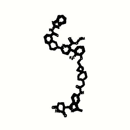 Cn1nc(C2CCC(=O)NC2=O)c2ccc(NC(=O)CN3CCC4(CC3)CC(COc3cccc(-c5ccc(N6CCc7cccc(C(=O)Nc8nc9ccccc9s8)c7C6)nc5C(=O)OC(C)(C)C)c3C(F)(F)F)C4)cc21